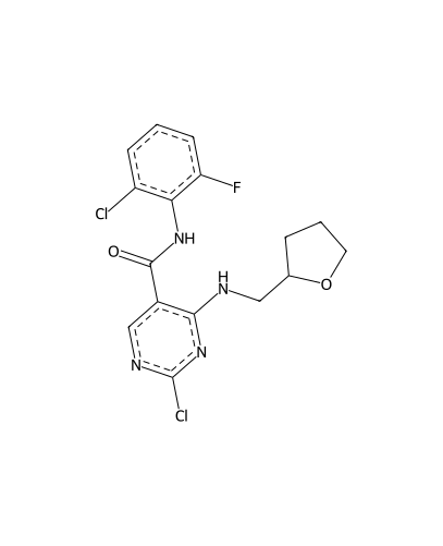 O=C(Nc1c(F)cccc1Cl)c1cnc(Cl)nc1NCC1CCCO1